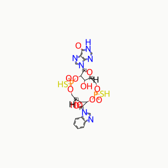 O=c1[nH]cnc2c1ncn2[C@@H]1O[C@@H]2COP(=O)(S)OC3C(O)[C@@H](COP(=O)(S)OC1C2O)O[C@H]3n1cnc2ccccc21